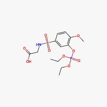 CCOP(=O)(OCC)Oc1cc(S(=O)(=O)NCC(=O)O)ccc1OC